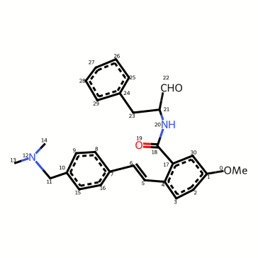 COc1ccc(C=Cc2ccc(CN(C)C)cc2)c(C(=O)NC(C=O)Cc2ccccc2)c1